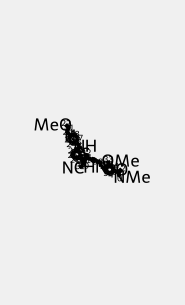 CNC(=O)c1ccc(NCC#Cc2sc3c(NC4CCN(CCOC)CC4)cccc3c2CC#N)c(OC)c1